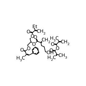 C=C(C)C(=O)OC(=O)C(=C)C.C=C(CC)C(=O)OCC(COC(=O)C(C)=Cc1ccccc1)OC(=O)C(=C)CCCO